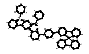 c1ccc(-c2nc3c(-c4ccc(-c5ccc6c(c5)C5(c7ccccc7-c7ccccc75)c5ccccc5-6)cc4)cccc3c3cc4c5ccccc5n(-c5ccccc5)c4cc23)cc1